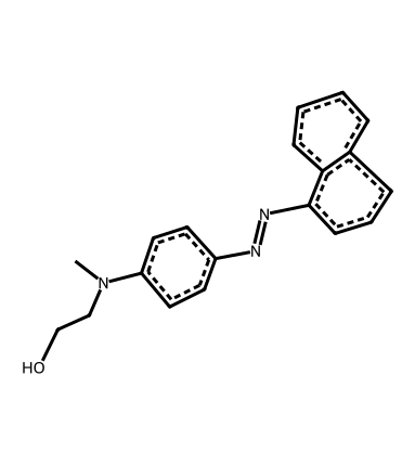 CN(CCO)c1ccc(N=Nc2cccc3ccccc23)cc1